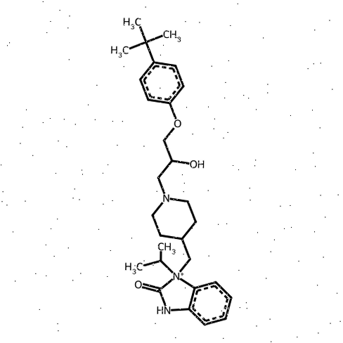 CC(C)[N+]1(CC2CCN(CC(O)COc3ccc(C(C)(C)C)cc3)CC2)C(=O)Nc2ccccc21